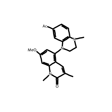 COc1cc(N2CCN(C)c3ccc(C(C)=O)cc32)c2cc(C)c(=O)n(C)c2c1